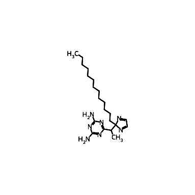 CCCCCCCCCCCCCC1(C(C)c2nc(N)nc(N)n2)N=CC=N1